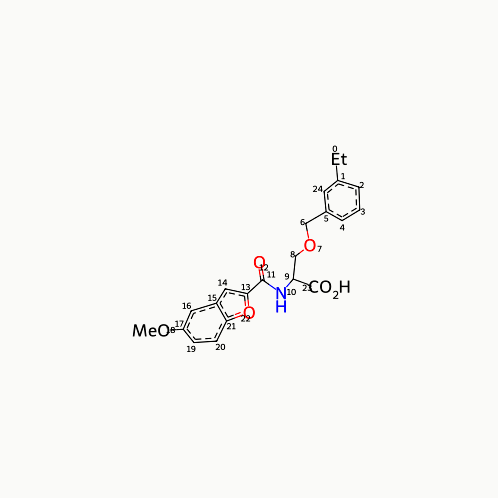 CCc1cccc(COCC(NC(=O)c2cc3cc(OC)ccc3o2)C(=O)O)c1